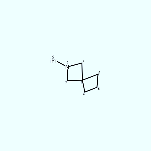 CC(C)N1CC2(CCC2)C1